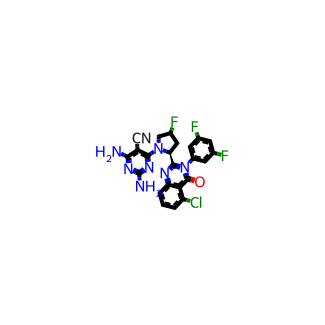 N#Cc1c(N)nc(N)nc1N1CC(F)C[C@H]1c1nc2cccc(Cl)c2c(=O)n1-c1cc(F)cc(F)c1